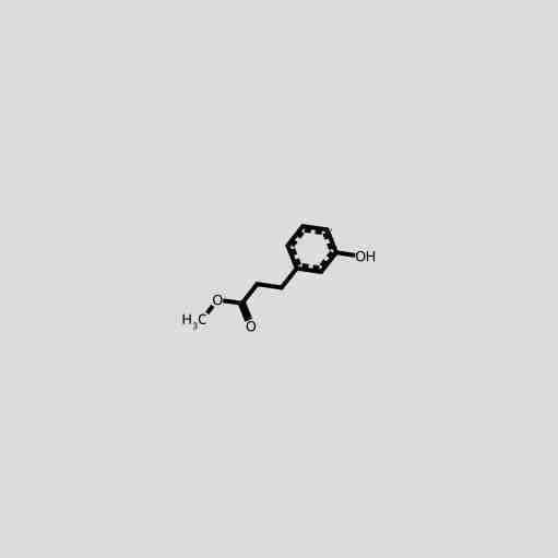 COC(=O)CCc1cc[c]c(O)c1